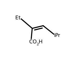 CCC(=CC(C)C)C(=O)O